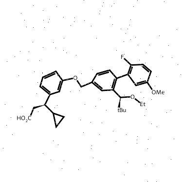 CCO[C@H](c1cc(COc2cccc([C@H](CC(=O)O)C3CC3)c2)ccc1-c1cc(OC)ccc1F)C(C)(C)C